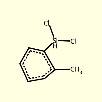 Cc1ccccc1[SiH](Cl)Cl